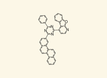 c1ccc(-c2nc(-c3ccc4ccc5c6ccccc6ccc5c4c3)nc(-c3ccnc4oc5ccccc5c34)n2)cc1